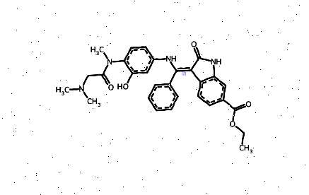 CCOC(=O)c1ccc2c(c1)NC(=O)/C2=C(\Nc1ccc(N(C)C(=O)CN(C)C)c(O)c1)c1ccccc1